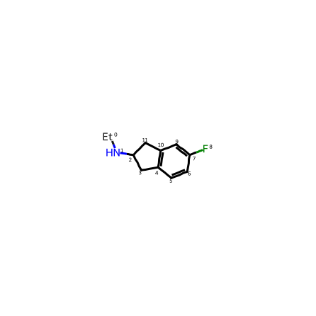 CCNC1Cc2ccc(F)cc2C1